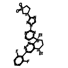 CC[C@H]1CC[C@](CC)(c2ccnc(-n3cnc([C@@H]4CCS(=O)(=O)C4)n3)n2)c2nnc(-c3c(F)cccc3F)cc21